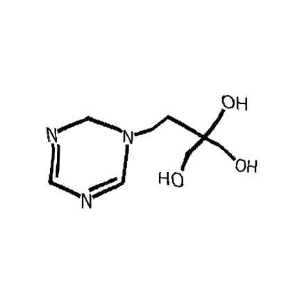 OC(O)(O)CN1C=NC=NC1